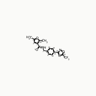 Cc1cc(C(=O)NCc2ccc(-c3noc(C(F)(F)F)n3)cc2)c(C)o1